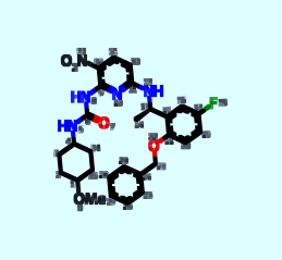 COC1CCC(NC(=O)Nc2nc(N[C@H](C)c3cc(F)ccc3OCc3ccccc3)ccc2[N+](=O)[O-])CC1